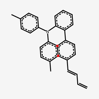 C=C/C=C/c1ccc(-c2ccccc2N(c2ccc(C)cc2)c2ccc(C)cc2)cc1